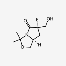 CC1(C)OC[C@@H]2C[C@](F)(CO)C(=O)N21